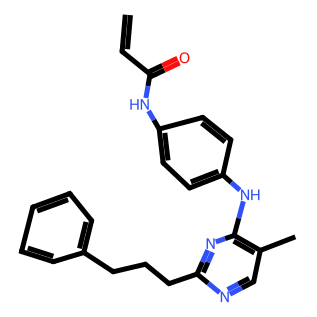 C=CC(=O)Nc1ccc(Nc2nc(CCCc3ccccc3)ncc2C)cc1